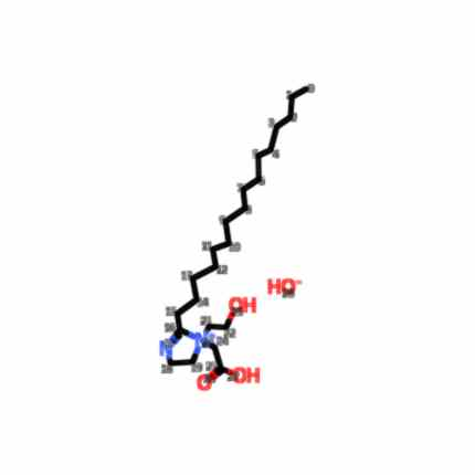 CCCCCCCCCCCCCCCCC1=NCC[N+]1(CCO)CC(=O)O.[OH-]